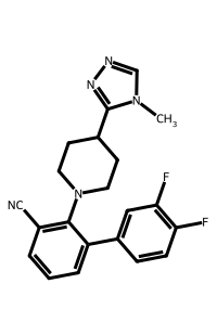 Cn1cnnc1C1CCN(c2c(C#N)cccc2-c2ccc(F)c(F)c2)CC1